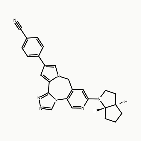 N#Cc1ccc(-c2cc3n(c2)Cc2cc(N4CC[C@H]5CCC[C@@H]54)ncc2-n2cnnc2-3)cc1